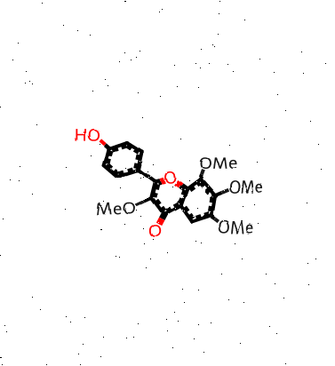 COc1cc2c(=O)c(OC)c(-c3ccc(O)cc3)oc2c(OC)c1OC